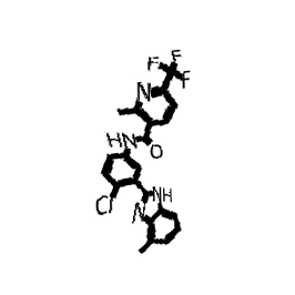 Cc1nc(C(F)(F)F)ccc1C(=O)Nc1ccc(Cl)c(-c2nc3c(C)cccc3[nH]2)c1